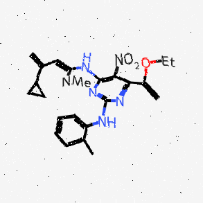 C=C(OCC)c1nc(Nc2ccccc2C)nc(N/C(=C/C(=C)C2CC2)NC)c1[N+](=O)[O-]